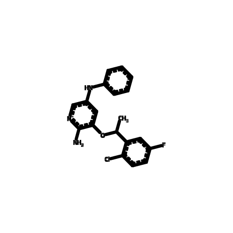 CC(Oc1cc(Nc2ccccc2)cnc1N)c1cc(F)ccc1Cl